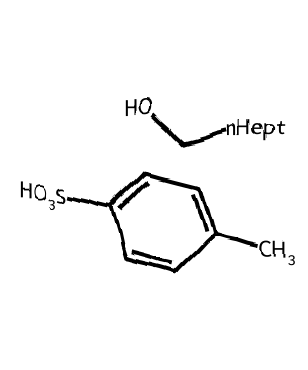 CCCCCCCCO.Cc1ccc(S(=O)(=O)O)cc1